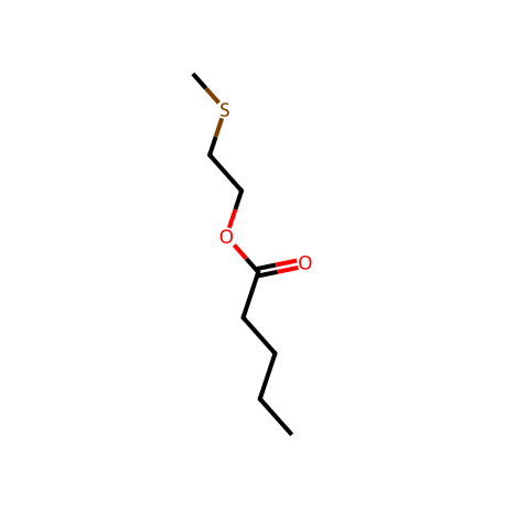 CCCCC(=O)OCCSC